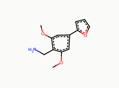 COc1cc(-c2ccco2)cc(OC)c1CN